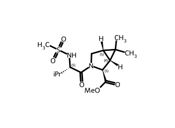 COC(=O)[C@@H]1[C@@H]2[C@H](CN1C(=O)[C@@H](NS(C)(=O)=O)C(C)C)C2(C)C